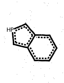 [c]1[pH]cc2ccccc12